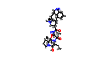 CC(C)CC1C(=O)N2CCC[C@H]2[C@@H]2O[C@](NC(=O)[C@@H]3C=C4c5cccc6[nH]cc(c56)C[C@H]4N(C)C3)(C(C)C)C(=O)N12